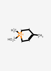 CC1=CC[PH](C)(C(=O)O)CC1